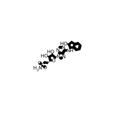 NS(=O)(=O)CC[C@H]1O[C@@H](n2cnc3c(N[C@@H]4c5ccccc5C[C@@H]4O)ncnc32)[C@H](O)[C@@H]1O